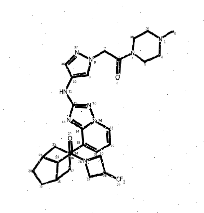 CN1CCN(C(=O)Cn2cc(Nc3nc4c(N5CC6CCC(C5)C6C(=O)N5CC(C(F)(F)F)C5)cccn4n3)cn2)CC1